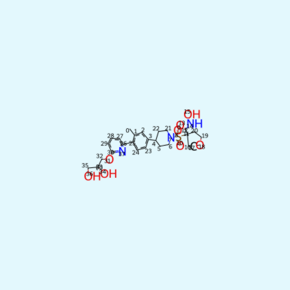 Cc1cc(C2CCN(S(=O)(=O)C3(C(=O)NO)CCOCC3)CC2)ccc1-c1cccc(OC[C@H](O)CO)n1